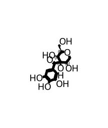 O=C(c1cc(O)c(O)c(O)c1)[C@]1(O)[C@H](O)[C@@H](CO)OC[C@@H]1O